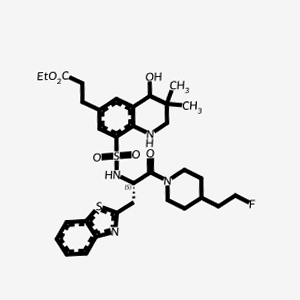 CCOC(=O)CCc1cc2c(c(S(=O)(=O)N[C@@H](Cc3nc4ccccc4s3)C(=O)N3CCC(CCF)CC3)c1)NCC(C)(C)C2O